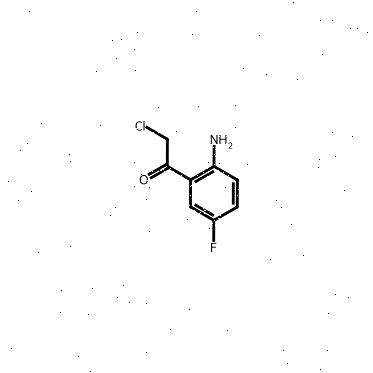 Nc1ccc(F)cc1C(=O)CCl